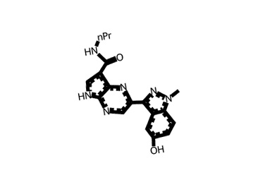 CCCNC(=O)c1c[nH]c2ncc(-c3nn(C)c4ccc(O)cc34)nc12